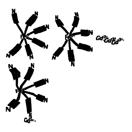 N#[C][Fe-4]([C]#N)([C]#N)([C]#N)([C]#N)[C]#N.N#[C][Fe-4]([C]#N)([C]#N)([C]#N)([C]#N)[C]#N.N#[C][Fe-4]([C]#N)([C]#N)([C]#N)([C]#N)[C]#N.[Gd+3].[Gd+3].[Gd+3].[Gd+3]